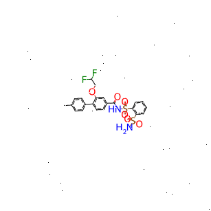 Cc1ccc(-c2ccc(C(=O)NS(=O)(=O)c3ccccc3S(N)(=O)=O)cc2OCC(F)F)cc1